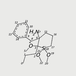 CCCC1(OC)C(N)(Cc2ccccc2)CCC[Si]1(OC)OC